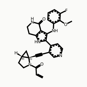 C=CC(=O)N1CC[C@@H]2C[C@@]21C#Cc1cnccc1-c1[nH]c2c(c1Nc1cccc(F)c1OC)C(=O)NCC2